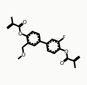 C=C(C)C(=O)Oc1ccc(-c2ccc(OC(=O)C(=C)C)c(COC)c2)cc1F